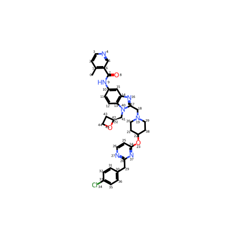 Cc1ccncc1C(=O)Nc1ccc2c(c1)nc(CN1CCC(Oc3ccnc(Cc4ccc(Cl)cc4)n3)CC1)n2C[C@@H]1CCO1